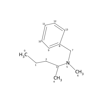 CCCC(C)N(C)Cc1ccccc1